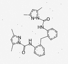 Cc1cc(C)n(C(=O)Nc2ccccc2Cc2ccccc2NC(=O)n2nc(C)cc2C)n1